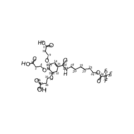 O=C(O)CCO[C@@H]1[C@H](OCCC(=O)O)C=C(C(=O)NCCCCCCOC(=O)C(F)(F)F)C[C@H]1OCCC(=O)O